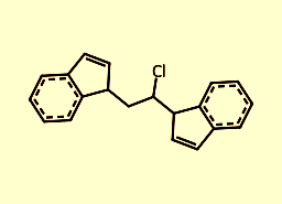 ClC(CC1C=Cc2ccccc21)C1C=Cc2ccccc21